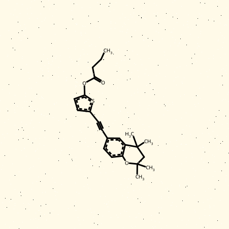 CCCC(=O)Oc1ccc(C#Cc2ccc3c(c2)C(C)(C)CC(C)(C)O3)s1